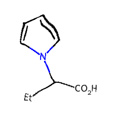 CCC(C(=O)O)n1cccc1